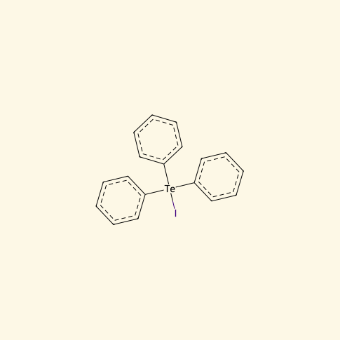 I[Te](c1ccccc1)(c1ccccc1)c1ccccc1